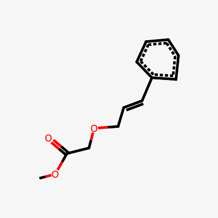 COC(=O)COC/C=C/c1ccccc1